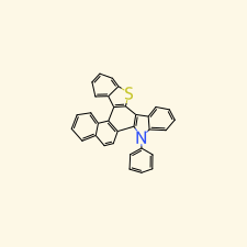 c1ccc(-n2c3ccccc3c3c4sc5ccccc5c4c4c5ccccc5ccc4c32)cc1